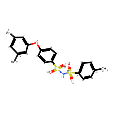 CC(=O)c1cc(Oc2ccc(S(=O)(=O)NS(=O)(=O)c3ccc(C)cc3)cc2)cc(C(C)=O)c1